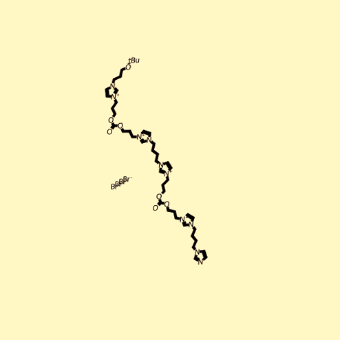 CC(C)(C)OCCCn1cc[n+](CCCOC(=O)OCCC[n+]2ccn(CCCCn3cc[n+](CCCOC(=O)OCCC[n+]4ccn(CCCCn5ccnc5)c4)c3)c2)c1.[Br-].[Br-].[Br-].[Br-]